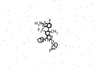 Cc1c(-c2ccc(F)c3sc(N)nc23)c(C(F)(F)F)cc2c(N3CC4CCC(C3)N4)nc(OCC34CCCN3C[C@H](F)C4)nc12